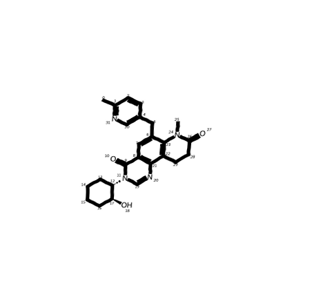 Cc1ccc(Cc2cc3c(=O)n([C@H]4CCCC[C@@H]4O)cnc3c3c2N(C)C(=O)CC3)cn1